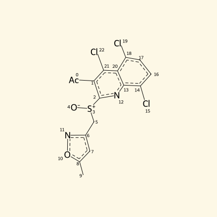 CC(=O)c1c([S+]([O-])Cc2cc(C)on2)nc2c(Cl)ccc(Cl)c2c1Cl